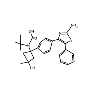 CC1(O)CC(c2ccc(-c3nc(N)sc3-c3ccccc3)cc2)(N(C(=O)O)C(C)(C)C)C1